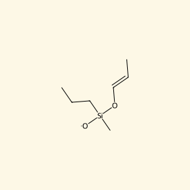 CC=CO[Si](C)([O])CCC